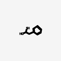 OC(S)Cc1ccccc1